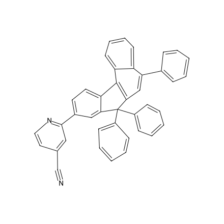 N#Cc1ccnc(-c2ccc3c(c2)C(c2ccccc2)(c2ccccc2)c2cc(-c4ccccc4)c4ccccc4c2-3)c1